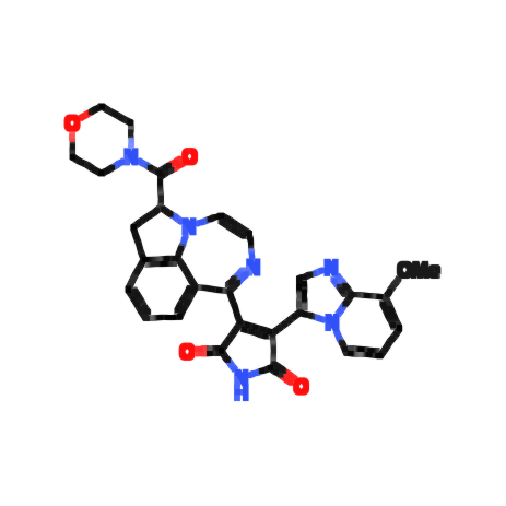 COc1cccn2c(C3=C(C4=NC=CN5c6c(cccc64)CC5C(=O)N4CCOCC4)C(=O)NC3=O)cnc12